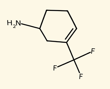 NC1CCC=C(C(F)(F)F)C1